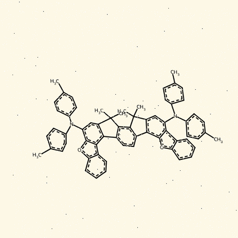 Cc1ccc(N(c2ccc(C)cc2)c2cc3c(c4c2oc2ccccc24)-c2ccc4c(c2C3(C)C)C(C)(C)c2cc(N(c3ccc(C)cc3)c3ccc(C)cc3)c3c(oc5ccccc53)c2-4)cc1